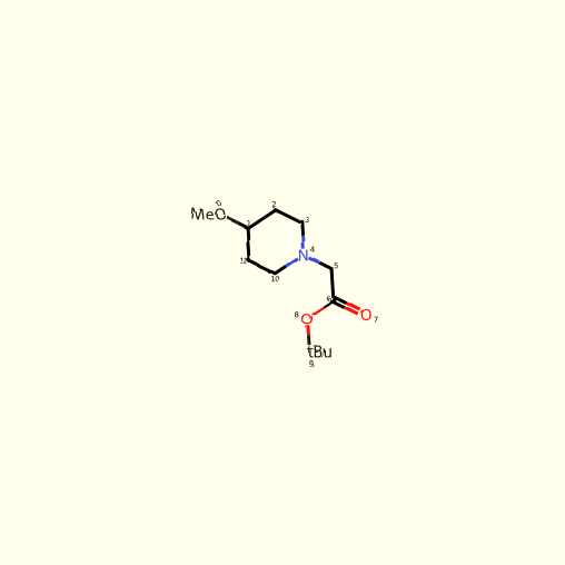 COC1CCN(CC(=O)OC(C)(C)C)CC1